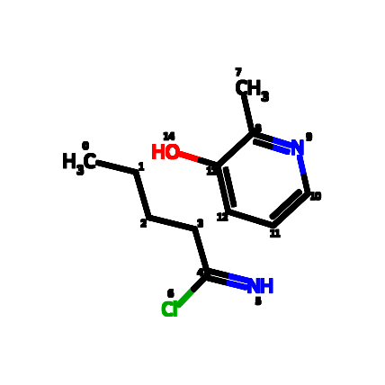 CCCCC(=N)Cl.Cc1ncccc1O